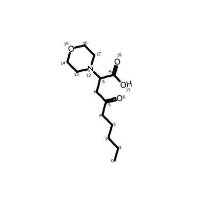 CCCCCC(=O)CC(C(=O)O)N1CCOCC1